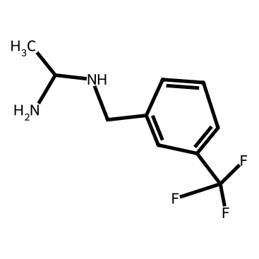 CC(N)NCc1cccc(C(F)(F)F)c1